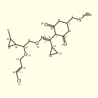 CCC(C)SCC1CC(=O)C(/C(=N/OCC(OC/C=C/Cl)C2CC2C)C2CC2)C(=O)C1